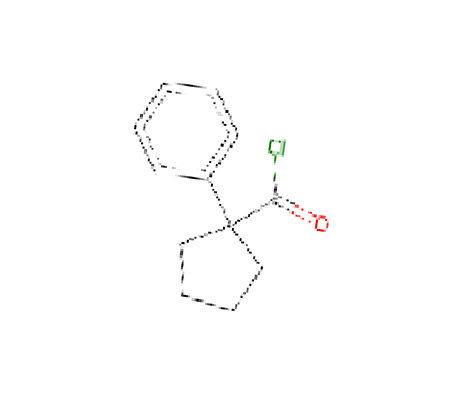 O=C(Cl)C1(c2ccccc2)CCCC1